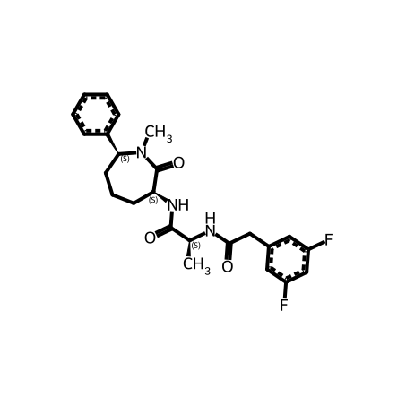 C[C@H](NC(=O)Cc1cc(F)cc(F)c1)C(=O)N[C@H]1CCC[C@@H](c2ccccc2)N(C)C1=O